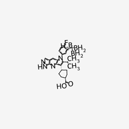 BC(B)(B)c1cc(-n2c(C(C)C)c([C@H]3CC[C@H](C(=O)O)CC3)c3nc4[nH]ncc4cc32)ccc1F